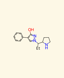 CCC(C1CCCN1)n1cc(-c2ccccc2)c(O)n1